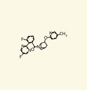 Cc1ccc(OC2CC3CC2N(C(=O)c2cccc(F)c2-c2ncc(F)cn2)C3)nc1